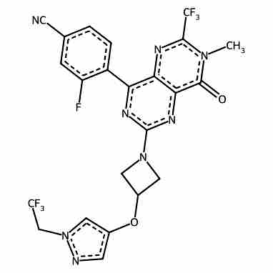 Cn1c(C(F)(F)F)nc2c(-c3ccc(C#N)cc3F)nc(N3CC(Oc4cnn(CC(F)(F)F)c4)C3)nc2c1=O